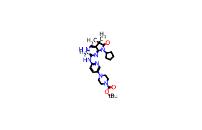 C=C(/N=C1\C(=C/N)C(C)(C)C(=O)N1C1CCCC1)Nc1ccc(N2CCN(C(=O)OC(C)(C)C)CC2)cn1